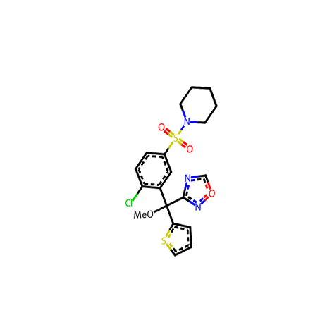 COC(c1ncon1)(c1cccs1)c1cc(S(=O)(=O)N2CCCCC2)ccc1Cl